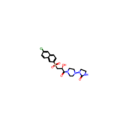 O=C([C@H](O)CS(=O)(=O)c1ccc2cc(Cl)ccc2c1)N1CCN(N2CCNC2=O)CC1